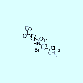 CC(C)c1cc(Br)c(NC(=O)N2CCN(C(=O)c3ccco3)CC2)c(Br)c1